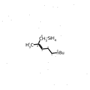 CCCCCCC=C(C)C.[SiH4]